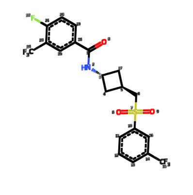 O=C(N[C@H]1C[C@H](CS(=O)(=O)c2cccc(C(F)(F)F)c2)C1)c1ccc(F)c(C(F)(F)F)c1